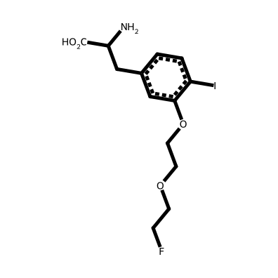 NC(Cc1ccc(I)c(OCCOCCF)c1)C(=O)O